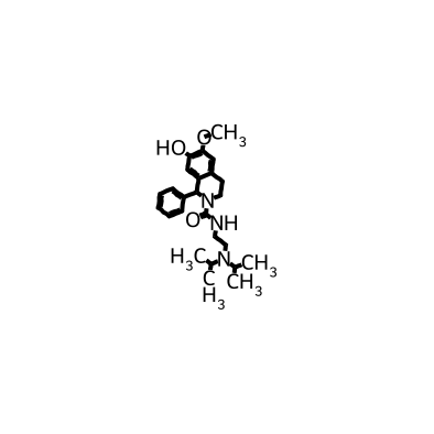 COc1cc2c(cc1O)C(c1ccccc1)N(C(=O)NCCN(C(C)C)C(C)C)CC2